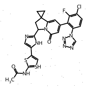 CC(=O)NC1=[SH]C=C(c2cnc(C3CC4(CC4)c4cc(-c5c(-n6cnnn6)ccc(Cl)c5F)cc(=O)n43)[nH]2)S1